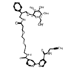 C#CCNC(=O)c1ccnc(-c2cc(C(=O)NCCOCCOCCC(=O)NCC(CO[C@@H]3O[C@H](CO)[C@@H](O)[C@H](O)[C@H]3O)c3ccccc3)ccn2)c1